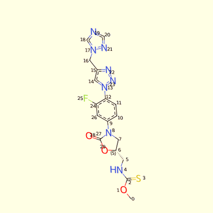 COC(=S)NC[C@H]1CN(c2ccc(-n3cc(Cn4cncn4)nn3)c(F)c2)C(=O)O1